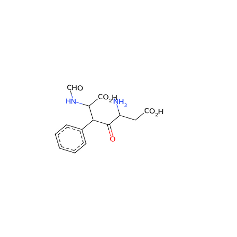 NC(CC(=O)O)C(=O)C(c1ccccc1)C(NC=O)C(=O)O